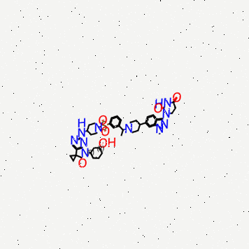 CC(c1cccc(S(=O)(=O)N2CCC(Nc3ncc4c(n3)N([C@@H]3CCC[C@@H](O)C3)C(=O)C43CC3)CC2)c1)N1CCC(c2ccc3c(N4CCC(=O)NC4=O)nn(C)c3c2)CC1